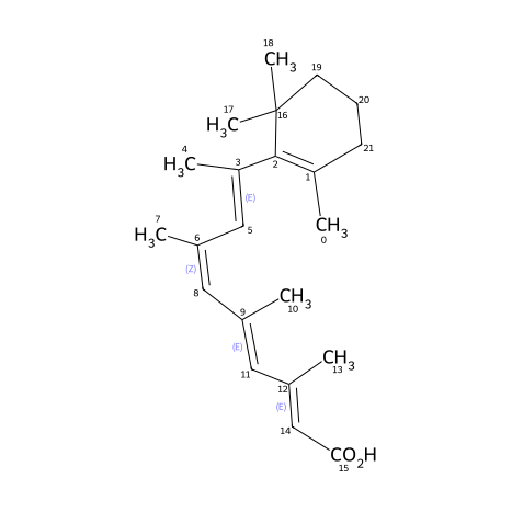 CC1=C(/C(C)=C/C(C)=C\C(C)=C\C(C)=C\C(=O)O)C(C)(C)CCC1